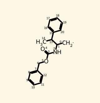 [CH2]C(NC(=O)OCc1ccccc1)C(C)c1ccccc1